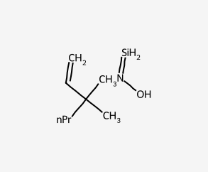 C=CC(C)(C)CCC.ON=[SiH2]